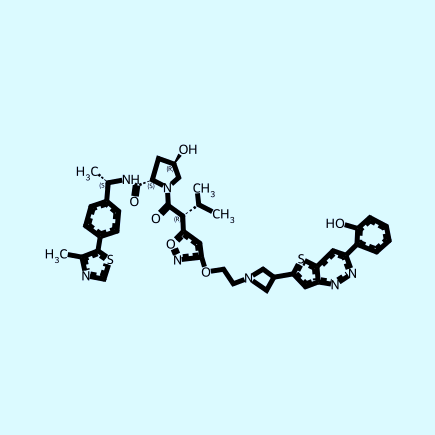 Cc1ncsc1-c1ccc([C@H](C)NC(=O)[C@@H]2C[C@@H](O)CN2C(=O)[C@@H](c2cc(OCCN3CC(c4cc5nnc(-c6ccccc6O)cc5s4)C3)no2)C(C)C)cc1